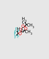 CCC(C)C(=O)OC(C)(C)CC(=O)OC(C(F)(F)F)C(F)(F)F